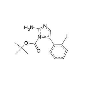 CC(C)(C)OC(=O)n1c(-c2ccccc2I)cnc1N